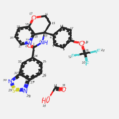 O=C(N[C@]1(c2ccc(OC(F)(F)F)cc2)CCOc2cccnc21)c1ccc2nsnc2c1.O=CO